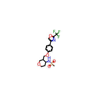 CS(=O)(=O)NC1CCOCC1COc1ccc(-c2coc(C(F)(F)F)n2)cc1